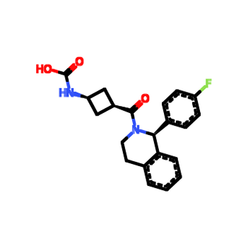 O=C(O)N[C@H]1C[C@@H](C(=O)N2CCc3ccccc3[C@@H]2c2ccc(F)cc2)C1